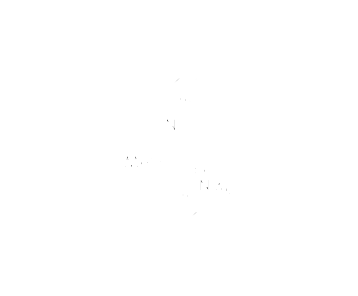 COC1CN(Cc2ccccc2)CCC1CON(C(C)=O)c1ccccc1